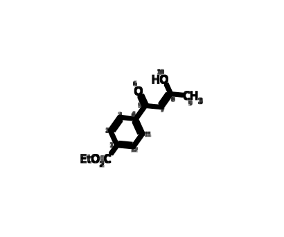 CCOC(=O)c1ccc(C(=O)/C=C(/C)O)cc1